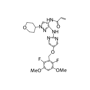 C=CC(=O)Nc1cn(C2CCOCC2)nc1Nc1ncc(OCc2c(F)c(OC)cc(OC)c2F)cn1